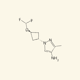 Cc1nn([C@H]2C[C@H](OC(F)F)C2)cc1N